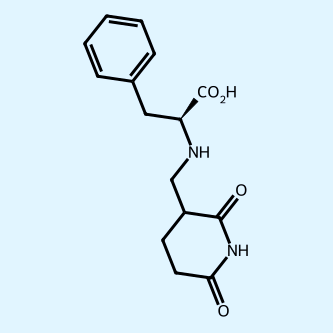 O=C1CCC(CN[C@@H](Cc2ccccc2)C(=O)O)C(=O)N1